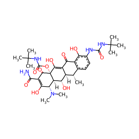 C[C@H]1c2ccc(NC(=O)NC(C)(C)C)c(O)c2C(=O)C2=C(O)[C@]3(OC(=O)NC(C)(C)C)C(=O)C(C(N)=O)=C(O)[C@@H](N(C)C)[C@@H]3[C@@H](O)[C@@H]21